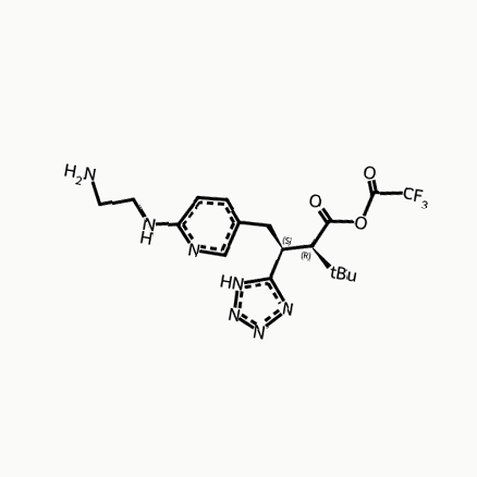 CC(C)(C)[C@H](C(=O)OC(=O)C(F)(F)F)[C@H](Cc1ccc(NCCN)nc1)c1nnn[nH]1